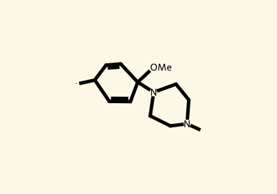 [CH2]C1C=CC(OC)(N2CCN(C)CC2)C=C1